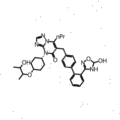 CCCc1c(Cc2ccc(-c3ccccc3C3=NOC(O)N3)cc2)c(=O)n([C@H]2CC[C@H](OC(C)C(C)O)CC2)c2ncnn12